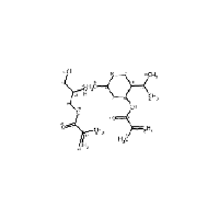 C=C(C)C(=O)OC1CC(C)CCC1C(C)C.C=C(C)C(=O)OCC(O)CCl